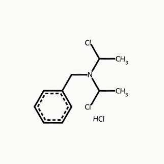 CC(Cl)N(Cc1ccccc1)C(C)Cl.Cl